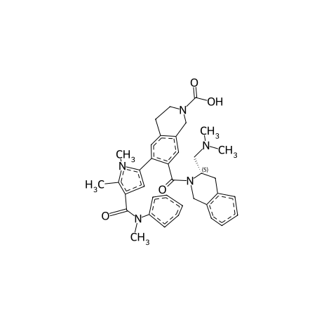 Cc1c(C(=O)N(C)c2ccccc2)cc(-c2cc3c(cc2C(=O)N2Cc4ccccc4C[C@H]2CN(C)C)CN(C(=O)O)CC3)n1C